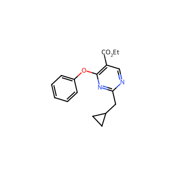 CCOC(=O)c1cnc(CC2CC2)nc1Oc1ccccc1